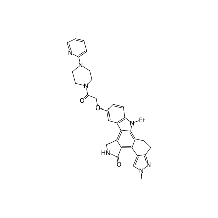 CCn1c2ccc(OCC(=O)N3CCN(c4ccccn4)CC3)cc2c2c3c(c4c(c21)CCc1nn(C)cc1-4)C(=O)NC3